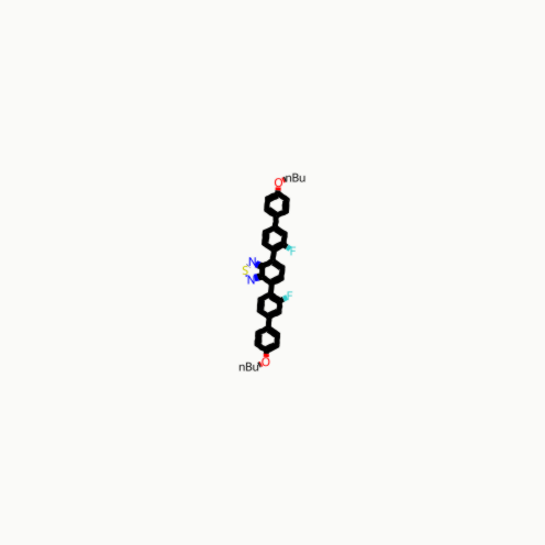 CCCCOc1ccc(-c2ccc(-c3ccc(-c4ccc(-c5ccc(OCCCC)cc5)cc4F)c4nsnc34)c(F)c2)cc1